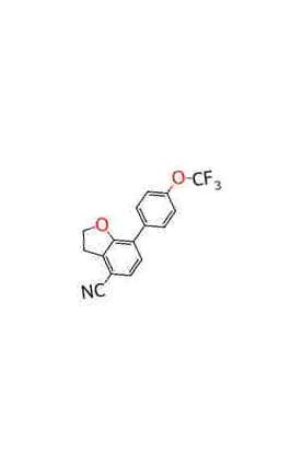 N#Cc1ccc(-c2ccc(OC(F)(F)F)cc2)c2c1CCO2